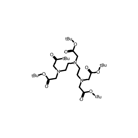 CC(C)(C)OC(=O)CN(CCN(CC(=O)OC(C)(C)C)CC(=O)OC(C)(C)C)CCN(CC(=O)OC(C)(C)C)CC(=O)C(C)(C)C